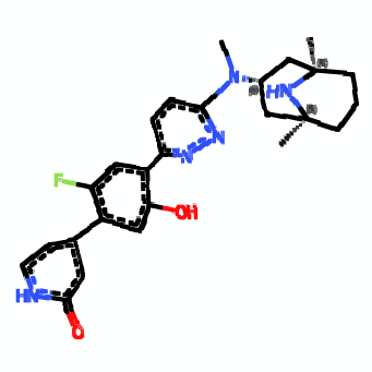 CN(c1ccc(-c2cc(F)c(-c3cc[nH]c(=O)c3)cc2O)nn1)[C@H]1C[C@]2(C)CCC[C@](C)(C1)N2